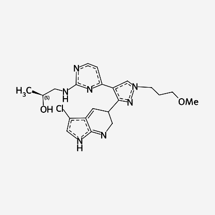 COCCCn1cc(-c2ccnc(NC[C@H](C)O)n2)c(C2C=c3c(Cl)c[nH]c3=NC2)n1